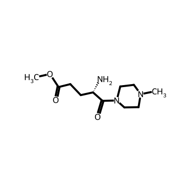 COC(=O)CC[C@H](N)C(=O)N1CCN(C)CC1